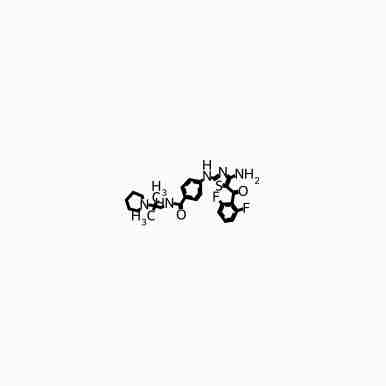 CC(C)(CNC(=O)c1ccc(Nc2nc(N)c(C(=O)c3c(F)cccc3F)s2)cc1)N1CCCCC1